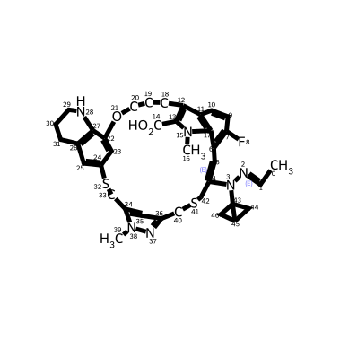 C/C=N/N(/C1=C/c2c(F)ccc3c(c(C(=O)O)n(C)c23)CCCOc2cc(cc3c2NCCC3)SCc2cc(nn2C)CSC1)C12CC1C2